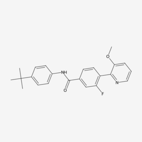 COc1cccnc1-c1ccc(C(=O)Nc2ccc(C(C)(C)C)cc2)cc1F